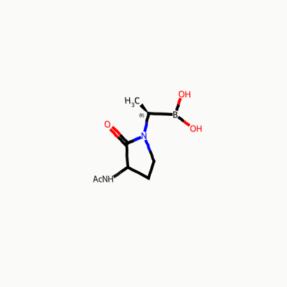 CC(=O)NC1CCN([C@@H](C)B(O)O)C1=O